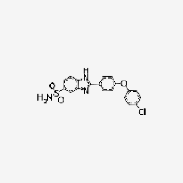 NS(=O)(=O)c1ccc2[nH]c(-c3ccc(Oc4ccc(Cl)cc4)cc3)nc2c1